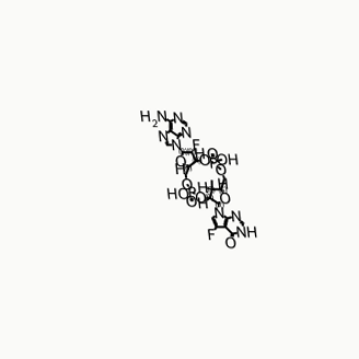 C[C@H]1[C@H]2OP(=O)(O)OC[C@H]3O[C@@H](n4cnc5c(N)ncnc54)[C@H](F)[C@@H]3OP(=O)(O)OC[C@H]1O[C@H]2n1cc(F)c2c(=O)[nH]cnc21